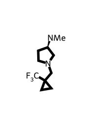 CN[C@@H]1CCN(CC2(C(F)(F)F)CC2)C1